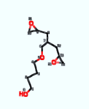 OCCCCOCC(CC1CO1)CC1CO1